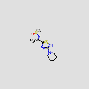 C/C(=N\[S@@+]([O-])C(C)(C)C)c1nc(N2CCCCC2)ns1